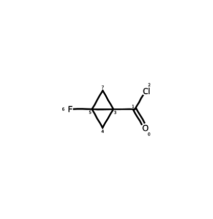 O=C(Cl)C12CC1(F)C2